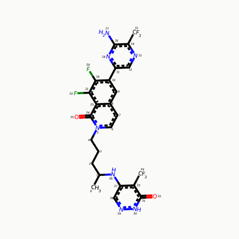 CC(CCCn1ccc2cc(-c3cnc(C(F)(F)F)c(N)n3)c(F)c(F)c2c1=O)Nc1cn[nH]c(=O)c1C(F)(F)F